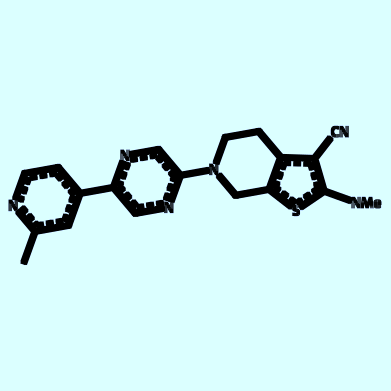 CNc1sc2c(c1C#N)CCN(c1cnc(-c3ccnc(C)c3)cn1)C2